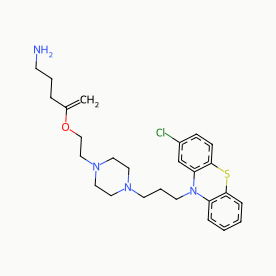 C=C(CCCN)OCCN1CCN(CCCN2c3ccccc3Sc3ccc(Cl)cc32)CC1